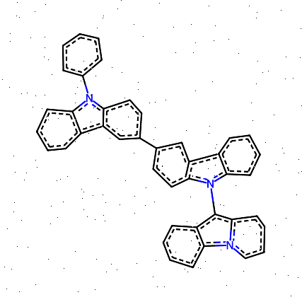 c1ccc(-n2c3ccccc3c3cc(-c4ccc5c(c4)c4ccccc4n5-c4c5ccccc5n5ccccc45)ccc32)cc1